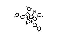 Cc1cccc(-c2ccc3c(c2)c2cc(-c4cccc(C)c4)ccc2n3-c2cncc(-n3c4ccc(-c5cccc(C)c5)cc4c4cc(-c5cccc(C)c5)ccc43)c2-c2ccc(C#N)cc2)c1